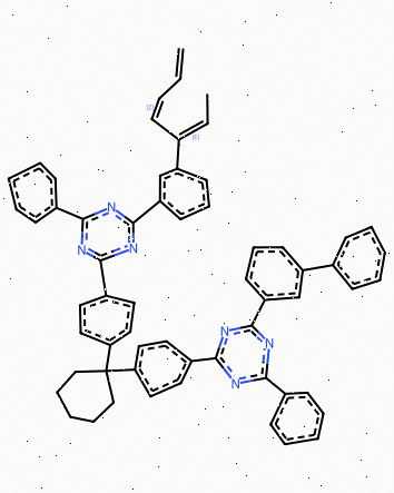 C=C/C=C\C(=C/C)c1cccc(-c2nc(-c3ccccc3)nc(-c3ccc(C4(c5ccc(-c6nc(-c7ccccc7)nc(-c7cccc(-c8ccccc8)c7)n6)cc5)CCCCC4)cc3)n2)c1